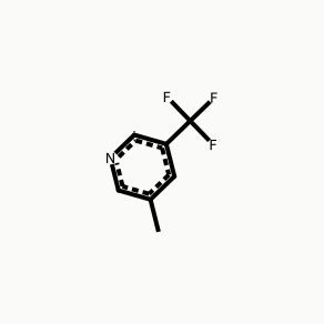 Cc1cn[c]c(C(F)(F)F)c1